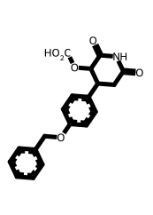 O=C1CC(c2ccc(OCc3ccccc3)cc2)C(OC(=O)O)C(=O)N1